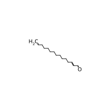 C=CCCCCCCCCCC/C=C/C=O